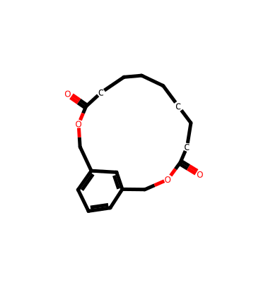 O=C1CCCCCCCC(=O)OCc2cccc(c2)CO1